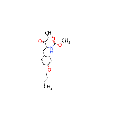 CCCCOc1ccc(C[C@H](NC(=O)OC)C(=O)CC)cc1